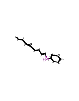 CCCCCCCCCPC1CCCCC1